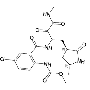 CNC(=O)C(=O)C(C[C@@H]1C[C@@H](C)NC1=O)NC(=O)c1cc(Cl)ccc1NC(=O)OC